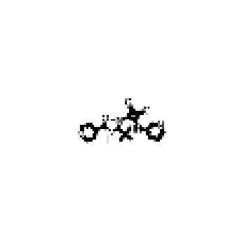 CC(C)(C)C(NC(=O)c1ccncc1)Nc1c(Nc2cccnc2)c(=O)c1=O